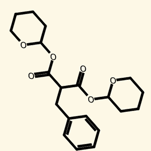 O=C(OC1CCCCO1)C(Cc1ccccc1)C(=O)OC1CCCCO1